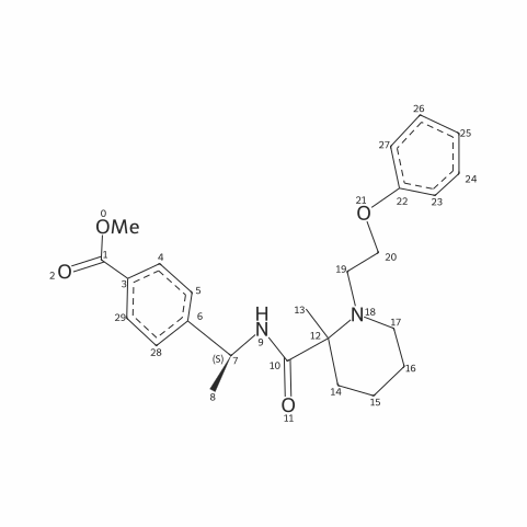 COC(=O)c1ccc([C@H](C)NC(=O)C2(C)CCCCN2CCOc2ccccc2)cc1